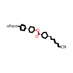 CCCCCc1ccc([C@H]2CC[C@H](OC(=O)[C@H]3CC[C@H](CCC=CC=CC#N)CC3)CC2)cc1